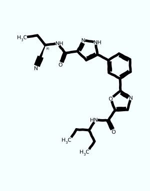 CCC(CC)NC(=O)c1cnc(-c2cccc(-c3cc(C(=O)N[C@@H](C#N)CC)n[nH]3)c2)o1